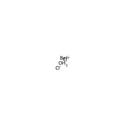 O.[Be+2].[Cl-].[Cl-]